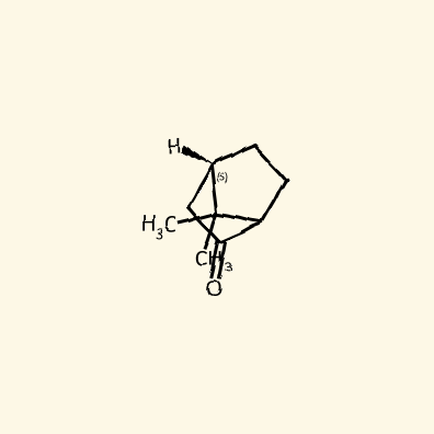 CC1(C)C2CC[C@H]1CC2=O